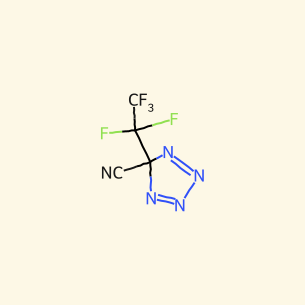 N#CC1(C(F)(F)C(F)(F)F)N=NN=N1